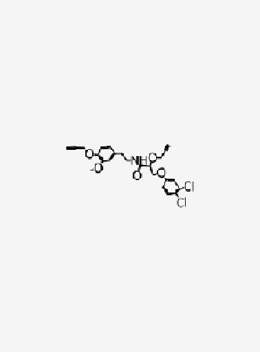 C#CCOc1ccc(CCNC(=O)C(COc2ccc(Cl)c(Cl)c2)OCC#C)cc1OC